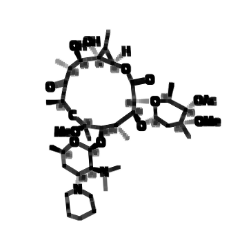 CO[C@]1(C)C[C@H](O[C@H]2[C@H](C)[C@@H](O[C@@H]3O[C@H](C)C[C@@H](N4CCCCC4)[C@@H]3N(C)C)[C@@](C)(OC)C[C@@H](C)C(=O)[C@H](C)[C@@H](O)[C@@]3(O)C(C)[C@H]3OC(=O)[C@@H]2C)O[C@@H](C)[C@@H]1OC(C)=O